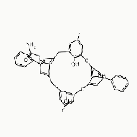 Cc1cc2c(O)c(c1)Cc1cc(-c3ccccc3)cc(c1OCC(N)=O)Cc1cc(C)cc(c1O)Cc1cc(-c3ccccc3)cc(c1O)C2